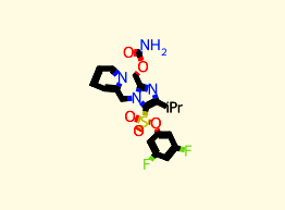 CC(C)c1nc(COC(N)=O)n(Cc2ccccn2)c1S(=O)(=O)Oc1cc(F)cc(F)c1